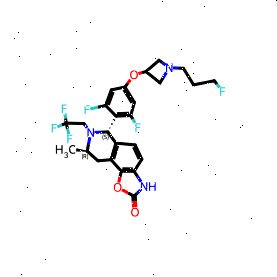 C[C@@H]1Cc2c(ccc3[nH]c(=O)oc23)[C@@H](c2c(F)cc(OC3CN(CCCF)C3)cc2F)N1CC(F)(F)F